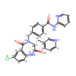 O=C(Nc1ccccn1)c1ccc(CN2C(=O)c3cc(Cl)ccc3NC(=O)[C@H]2Cc2cccnc2)cc1